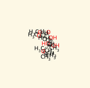 CC[Si](CC)(CC)OC(C)(C)CC[C@@H](O)[C@](C)(O)[C@H]1CC[C@@]2(O)C3=CC(=O)[C@@H]4C[C@H]5OC(C)(C)O[C@H]5C[C@]4(C)C3CC[C@]12C